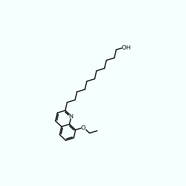 CCOc1cccc2ccc(CCCCCCCCCCCO)nc12